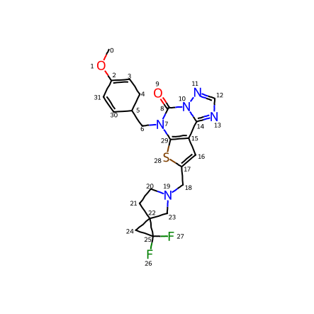 COC1=CCC(Cn2c(=O)n3ncnc3c3cc(CN4CCC5(C4)CC5(F)F)sc32)C=C1